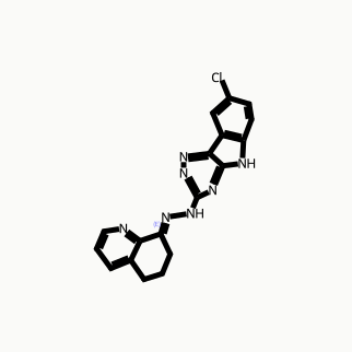 Clc1ccc2[nH]c3nc(N/N=C4\CCCc5cccnc54)nnc3c2c1